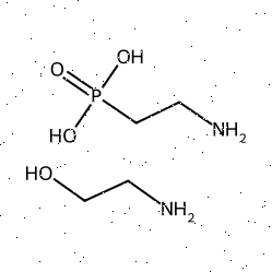 NCCO.NCCP(=O)(O)O